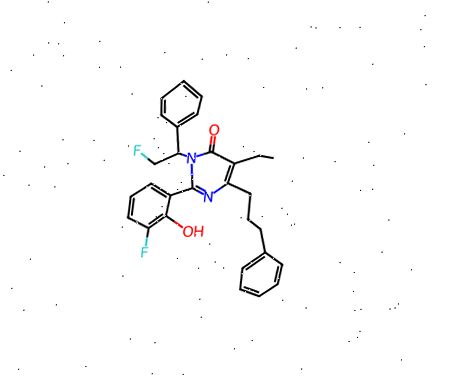 CCc1c(CCCc2ccccc2)nc(-c2cccc(F)c2O)n(C(CF)c2ccccc2)c1=O